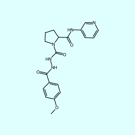 COc1ccc(C(=O)NNC(=O)N2CCCC2C(=O)Nc2cccnc2)cc1